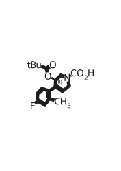 Cc1cc(F)ccc1C1=CCN(C(=O)O)C[C@@H]1OC(=O)C(C)(C)C